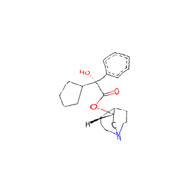 O=C(O[C@H]1CN2CCC1CC2)[C@](O)(c1ccccc1)C1CCCC1